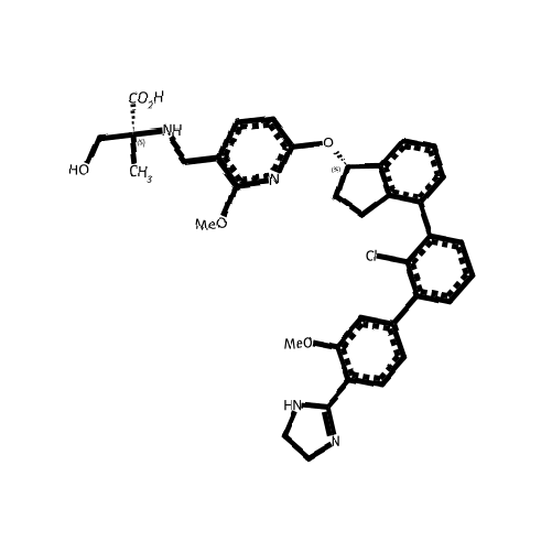 COc1cc(-c2cccc(-c3cccc4c3CC[C@@H]4Oc3ccc(CN[C@@](C)(CO)C(=O)O)c(OC)n3)c2Cl)ccc1C1=NCCN1